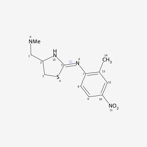 CNCC1CS/C(=N\c2ccc([N+](=O)[O-])cc2C)N1